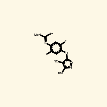 CNC(=Nc1cc(F)c(Oc2snc(C(C)(C)C)c2C#N)cc1F)C(C)C